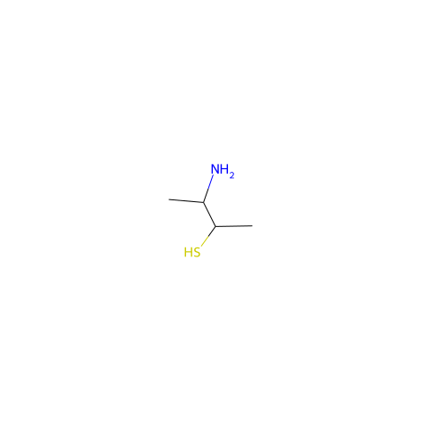 CC(N)C(C)S